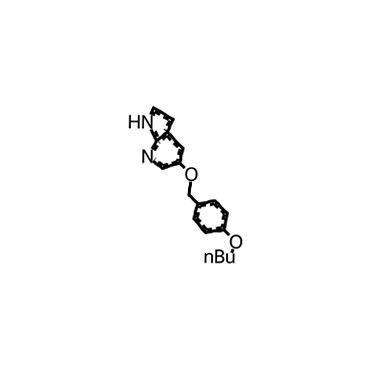 CCCCOc1ccc(COc2cnc3[nH]ccc3c2)cc1